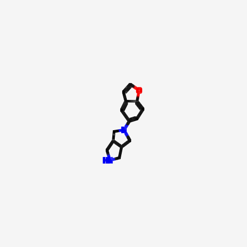 c1cc2cc(N3CC4CNCC4C3)ccc2o1